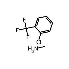 CN.FC(F)(F)c1ccccc1Cl